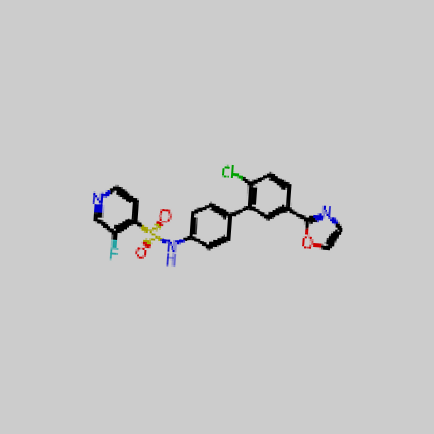 O=S(=O)(Nc1ccc(-c2cc(-c3ncco3)ccc2Cl)cc1)c1ccncc1F